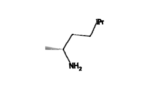 CC(C)CC[C@@H](C)N